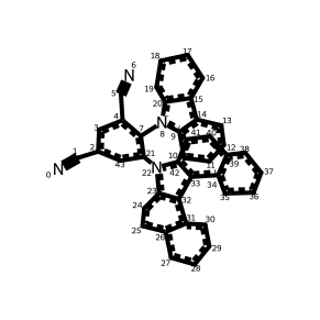 N#Cc1cc(C#N)c(-n2c3ccccc3c3ccccc32)c(-n2c3ccc4ccccc4c3c3c4ccccc4ccc32)c1